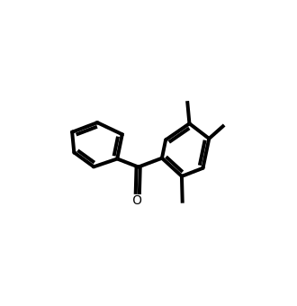 Cc1cc(C)c(C(=O)c2ccccc2)cc1C